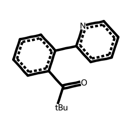 CC(C)(C)C(=O)c1ccccc1-c1ccccn1